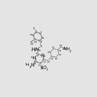 Cc1ccc(CNc2nc(N)c([N+](=O)[O-])c(CC3CCC(CN)CC3)n2)c(C)c1